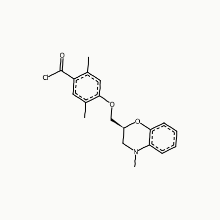 Cc1cc(C(=O)Cl)c(C)cc1OC[C@@H]1CN(C)c2ccccc2O1